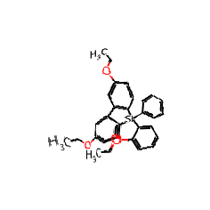 CCOc1ccc2c(c1)-c1cc(OCC)ccc1[Si]2(c1ccccc1)c1ccccc1OCC